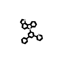 c1ccc(-c2cc(-c3ccccn3)cc(-n3c4ccccc4c4c5occc5ccc43)c2)cc1